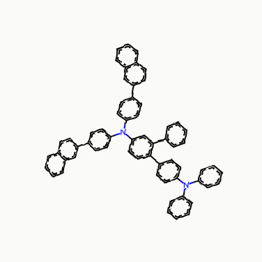 c1ccc(-c2cc(N(c3ccc(-c4ccc5ccccc5c4)cc3)c3ccc(-c4ccc5ccccc5c4)cc3)ccc2-c2ccc(N(c3ccccc3)c3ccccc3)cc2)cc1